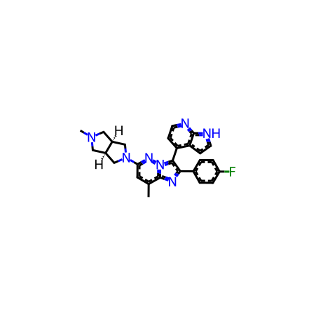 Cc1cc(N2C[C@H]3CN(C)C[C@H]3C2)nn2c(-c3ccnc4[nH]ccc34)c(-c3ccc(F)cc3)nc12